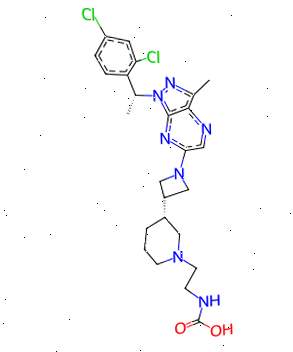 Cc1nn([C@H](C)c2ccc(Cl)cc2Cl)c2nc(N3CC([C@H]4CCCN(CCNC(=O)O)C4)C3)cnc12